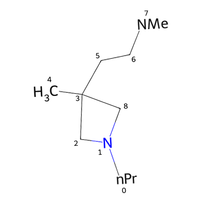 CCCN1CC(C)(CCNC)C1